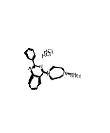 CCCCCCN1CCN(c2nc(-c3ccccc3)nc3ccccc23)CC1.Cl.Cl